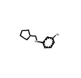 CCCCc1cccc(NCC2CCCC2)c1